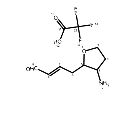 NC1CCOC1CC=CC=O.O=C(O)C(F)(F)F